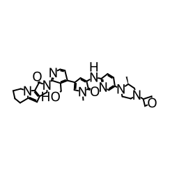 C[C@H]1CN(C2COC2)CCN1c1ccc(Nc2cc(-c3ccnc(N4Cc5cc6n(c5C4=O)CCCC6)c3CO)cn(C)c2=O)nc1